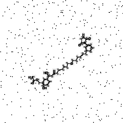 CC(=O)OCc1cc([C@@H](O)CNCCCCCCOCCCCCCc2cccc(N3C(=O)CNC3=O)c2)ccc1O